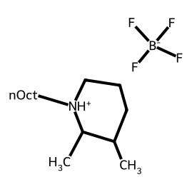 CCCCCCCC[NH+]1CCCC(C)C1C.F[B-](F)(F)F